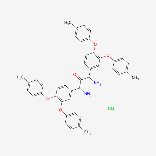 Cc1ccc(Oc2ccc(C(N)C(=O)C(N)c3ccc(Oc4ccc(C)cc4)c(Oc4ccc(C)cc4)c3)cc2Oc2ccc(C)cc2)cc1.Cl